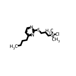 CCCCc1ccnc(SCCC[Si](C)(C)Cl)n1